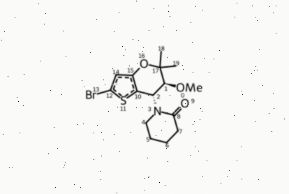 CO[C@H]1[C@H](N2CCCCC2=O)c2sc(Br)cc2OC1(C)C